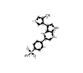 CC(C)S(=O)(=O)c1ccc(-c2cnc3[nH]cc(-c4cscc4C#N)c3n2)cc1